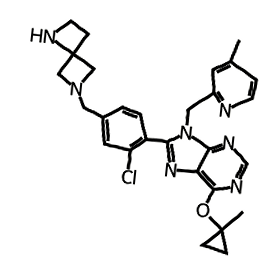 Cc1ccnc(Cn2c(-c3ccc(CN4CC5(CCN5)C4)cc3Cl)nc3c(OC4(C)CC4)ncnc32)c1